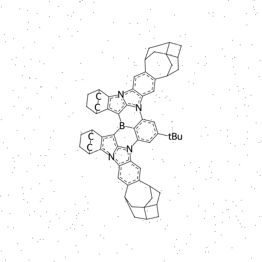 CC(C)(C)c1cc2c3c(c1)-n1c4cc5c(cc4n4c6c(c(c14)B3c1c3c(n4c7cc8c(cc7n-2c14)C1CC2CC4CC8CC24C1)C1CCC3CC1)C1CCC6CC1)C1CC2CC3CC5CC32C1